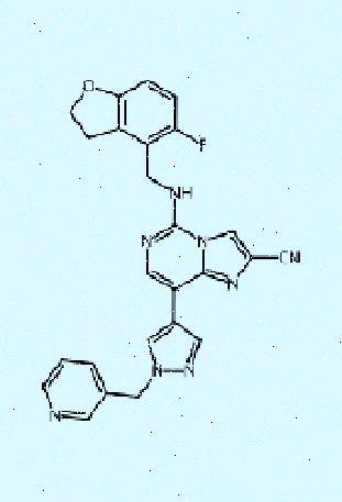 N#Cc1cn2c(NCc3c(F)ccc4c3CCO4)ncc(-c3cnn(Cc4cccnc4)c3)c2n1